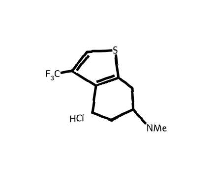 CNC1CCc2c(C(F)(F)F)csc2C1.Cl